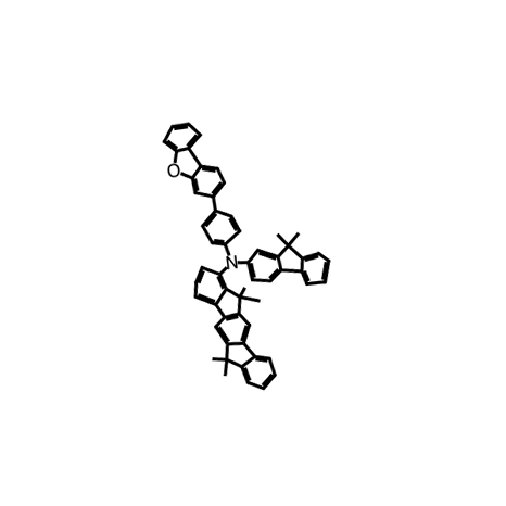 CC1(C)c2ccccc2-c2ccc(N(c3ccc(-c4ccc5c(c4)oc4ccccc45)cc3)c3cccc4c3C(C)(C)c3cc5c(cc3-4)C(C)(C)c3ccccc3-5)cc21